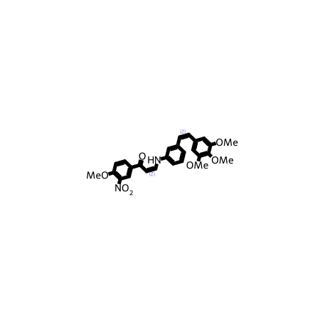 COc1ccc(C(=O)/C=C\Nc2cccc(/C=C\c3cc(OC)c(OC)c(OC)c3)c2)cc1[N+](=O)[O-]